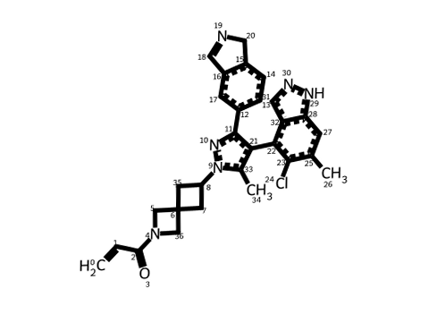 C=CC(=O)N1CC2(CC(n3nc(-c4ccc5c(c4)C=NC5)c(-c4c(Cl)c(C)cc5[nH]ncc45)c3C)C2)C1